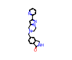 O=C1NCc2cc(CN3CCn4nc(-c5ccccn5)cc4C3)ccc21